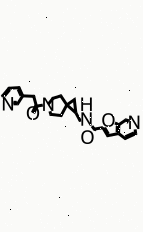 O=C(NCC1CC12CCN(C(=O)Cc1cccnc1)CC2)c1cc2ccncc2o1